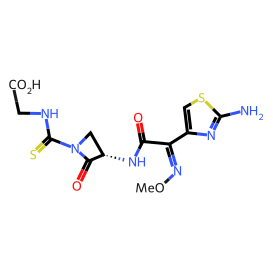 CON=C(C(=O)N[C@H]1CN(C(=S)NCC(=O)O)C1=O)c1csc(N)n1